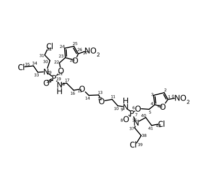 O=[N+]([O-])c1ccc(COP(=O)(NCCOCCOCCNP(=O)(OCc2ccc([N+](=O)[O-])o2)N(CCCl)CCCl)N(CCCl)CCCl)o1